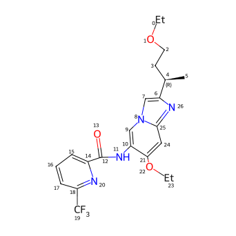 CCOCC[C@@H](C)c1cn2cc(NC(=O)c3cccc(C(F)(F)F)n3)c(OCC)cc2n1